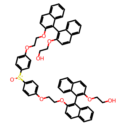 [O-][S+](c1ccc(OCCOc2ccc3ccccc3c2-c2c(OCCO)ccc3ccccc23)cc1)c1ccc(OCCOc2ccc3ccccc3c2-c2c(OCCO)ccc3ccccc23)cc1